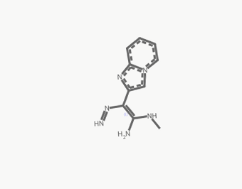 CN/C(N)=C(/N=N)c1cn2ccccc2n1